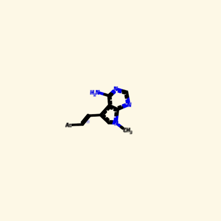 CC(=O)/C=C/c1cn(C)c2ncnc(N)c12